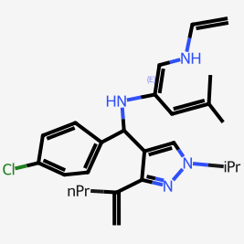 C=CN/C=C(\C=C(C)C)NC(c1ccc(Cl)cc1)c1cn(C(C)C)nc1C(=C)CCC